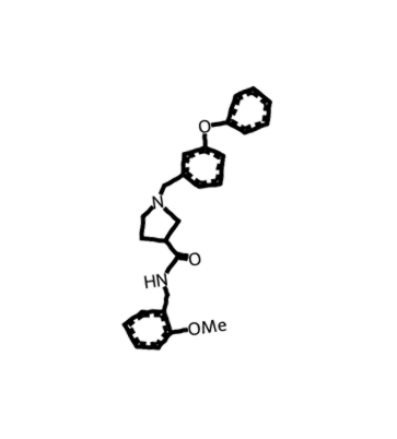 COc1ccccc1CNC(=O)C1CCN(Cc2cccc(Oc3ccccc3)c2)C1